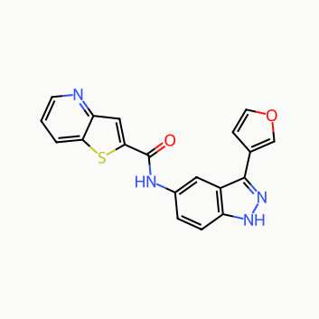 O=C(Nc1ccc2[nH]nc(-c3ccoc3)c2c1)c1cc2ncccc2s1